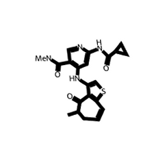 CNC(=O)c1cnc(NC(=O)C2CC2)cc1Nc1csc2c1C(=O)C(C)CC=C2